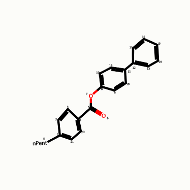 CCCCCc1ccc(C(=O)Oc2ccc(-c3ccccc3)cc2)cc1